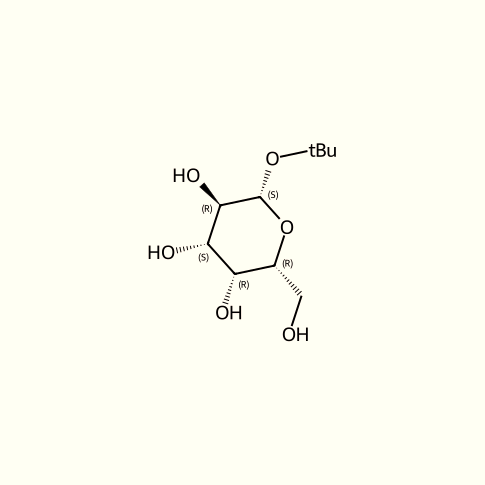 CC(C)(C)O[C@@H]1O[C@H](CO)[C@H](O)[C@H](O)[C@H]1O